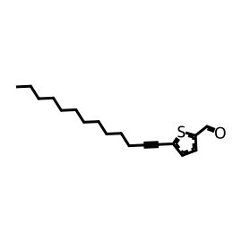 CCCCCCCCCCCC#Cc1ccc(C=O)s1